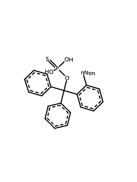 CCCCCCCCCc1ccccc1C(OP(O)(O)=S)(c1ccccc1)c1ccccc1